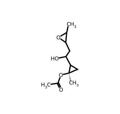 CC(=O)O[C@]1(C)CC1C(O)CC1OC1C